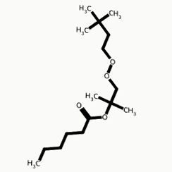 CCCCCC(=O)OC(C)(C)COOCCC(C)(C)C